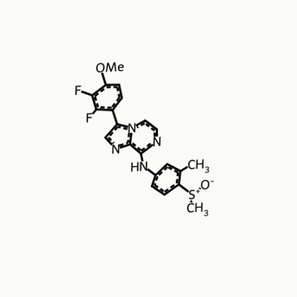 COc1ccc(-c2cnc3c(Nc4ccc([S@+](C)[O-])c(C)c4)nccn23)c(F)c1F